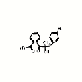 CCCC(=O)c1ccccc1C(=O)C(C)(C)Cc1ccc(CC)cc1